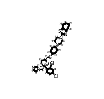 Clc1ccc([C@]2(Cn3ccnc3)OC[C@@H](COc3ccc(N4CCN(c5nc6ccccc6s5)CC4)cc3)O2)c(Cl)c1